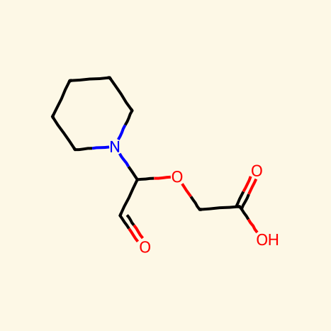 O=CC(OCC(=O)O)N1CCCCC1